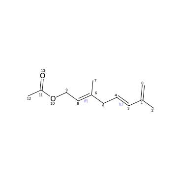 C=C(C)/C=C/C/C(C)=C/COC(C)=O